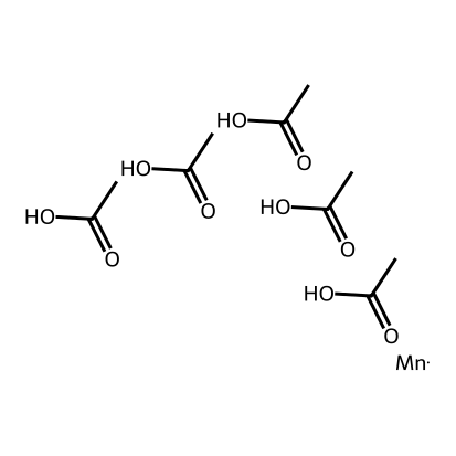 CC(=O)O.CC(=O)O.CC(=O)O.CC(=O)O.CC(=O)O.[Mn]